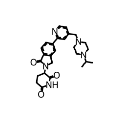 CC(C)N1CCN(Cc2ccnc(-c3ccc4c(c3)CN(C3CCC(=O)NC3=O)C4=O)c2)CC1